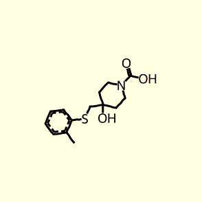 Cc1ccccc1SCC1(O)CCN(C(=O)O)CC1